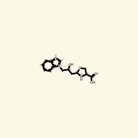 O=C(O)C1CSC(CC(S)Cn2cnc3ccccc32)N1